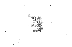 COc1nc(-c2cccc(-c3ccnc(-c4cc(Cl)c5c(c4)CCN(CCCF)C5)c3Cl)c2Cl)ccc1CNC(=O)OC(C)(C)C